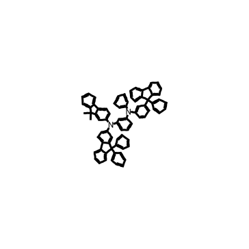 CC1(C)c2ccccc2-c2ccc(N(c3cccc(N(c4ccccc4)c4cccc(C5(c6ccccc6)c6ccccc6-c6ccccc65)c4)c3)c3ccc4c(c3)C(c3ccccc3)(c3ccccc3)c3ccccc3-4)cc21